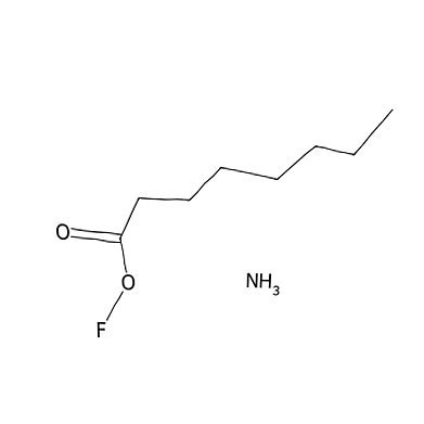 CCCCCCCC(=O)OF.N